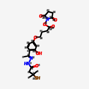 CC(=NNC(=O)CC(C)(C)S)c1ccc(OCCCC(=O)ON2C(=O)CCC2=O)cc1O